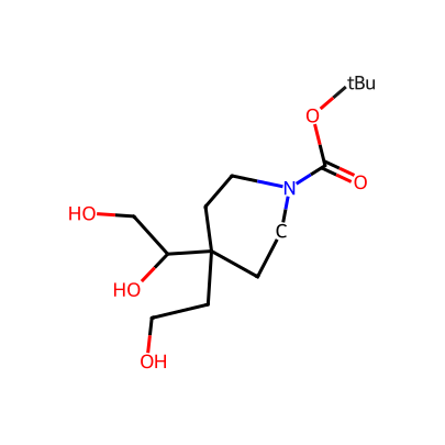 CC(C)(C)OC(=O)N1CCC(CCO)(C(O)CO)CC1